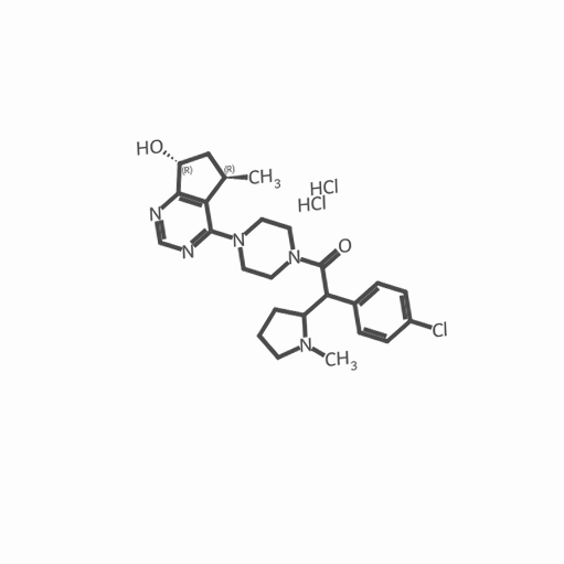 C[C@@H]1C[C@@H](O)c2ncnc(N3CCN(C(=O)C(c4ccc(Cl)cc4)C4CCCN4C)CC3)c21.Cl.Cl